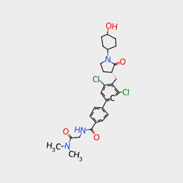 CN(C)C(=O)CNC(=O)c1ccc(-c2cc(Cl)c(C[C@@H]3CCN(C4CCC(O)CC4)C3=O)c(Cl)c2)cc1